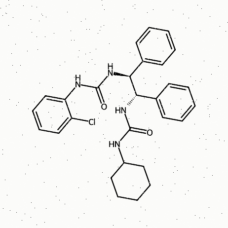 O=C(Nc1ccccc1Cl)N[C@@H](c1ccccc1)[C@@H](NC(=O)NC1CCCCC1)c1ccccc1